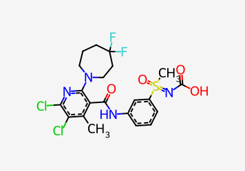 Cc1c(Cl)c(Cl)nc(N2CCCC(F)(F)CC2)c1C(=O)Nc1cccc(S(C)(=O)=NC(=O)O)c1